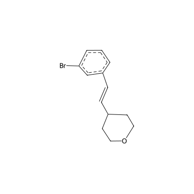 Brc1cccc(/C=C/C2CCOCC2)c1